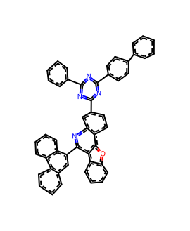 c1ccc(-c2ccc(-c3nc(-c4ccccc4)nc(-c4ccc5c(c4)nc(-c4cc6ccccc6c6ccccc46)c4c6ccccc6oc54)n3)cc2)cc1